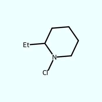 CCC1CCCCN1Cl